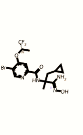 C[C@H](Oc1cc(C(=O)NC(C)(CC2CC2)/C(N)=N/O)ncc1Br)C(F)(F)F